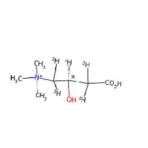 [2H]C([2H])(C(=O)O)[C@@]([2H])(O)C([2H])([2H])[N+](C)(C)C